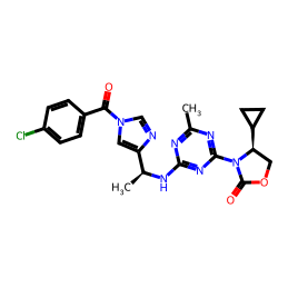 Cc1nc(N[C@@H](C)c2cn(C(=O)c3ccc(Cl)cc3)cn2)nc(N2C(=O)OC[C@@H]2C2CC2)n1